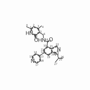 Cc1cc(C)c(CNC(=O)c2cc(-c3ccncc3)cc3c2cnn3C(C)C)c(=O)[nH]1